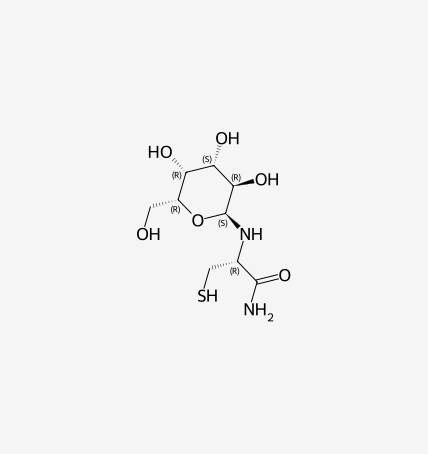 NC(=O)[C@H](CS)N[C@H]1O[C@H](CO)[C@H](O)[C@H](O)[C@H]1O